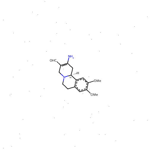 COc1cc2c(cc1OC)[C@@H]1CC(N)=C(C=O)CN1CC2